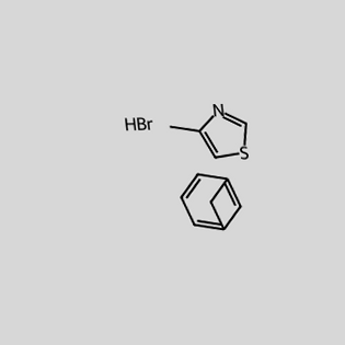 Br.Cc1cscn1.c1cc2cc(c1)C2